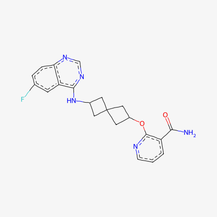 NC(=O)c1cccnc1OC1CC2(CC(Nc3ncnc4ccc(F)cc34)C2)C1